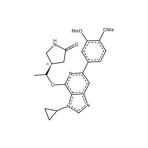 COc1ccc(-c2cc3ncn(C4CC4)c3c(OC(C)[C@H]3CNC(=O)C3)n2)cc1OC